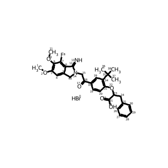 Br.COc1cc2c(c(F)c1OC)C(=N)N(CC(=O)c1ccc(OC(Cc3ccccc3)C(=O)O)c(C(C)(C)C)c1)C2